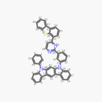 c1ccc(-n2c3ccccc3c3cc4c5ccccc5n(-c5cccc(-c6nccc(-c7cccc8c7sc7ccccc78)n6)c5)c4cc32)cc1